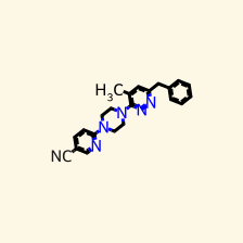 Cc1cc(Cc2ccccc2)nnc1N1CCN(c2ccc(C#N)cn2)CC1